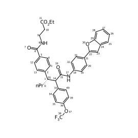 CCC[C@H](c1ccc(C(=O)NCCC(=O)OCC)cc1)C(C(=O)Nc1ccc(-c2cc3ccccc3o2)cc1)c1ccc(OC(F)(F)F)cc1